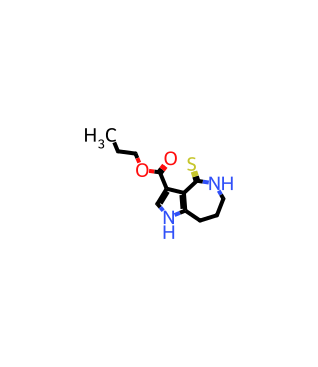 CCCOC(=O)c1c[nH]c2c1C(=S)NCCC2